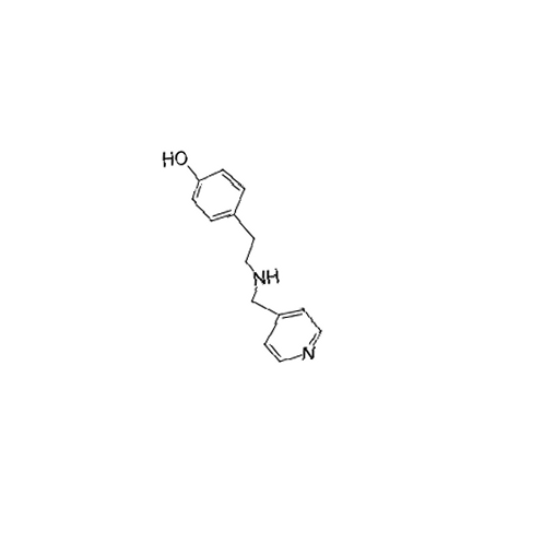 Oc1ccc(CCNCc2ccncc2)cc1